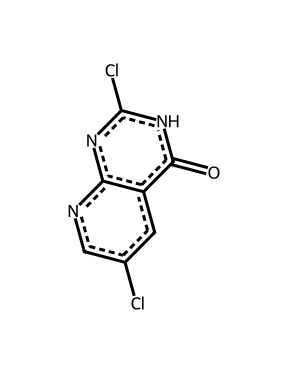 O=c1[nH]c(Cl)nc2ncc(Cl)cc12